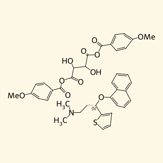 CN(C)CC[C@H](Oc1cccc2ccccc12)c1cccs1.COc1ccc(C(=O)OC(=O)C(O)C(O)C(=O)OC(=O)c2ccc(OC)cc2)cc1